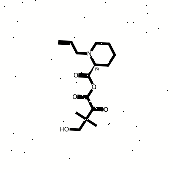 C=CCN1CCCC[C@H]1C(=O)OC(=O)C(=O)C(C)(C)CO